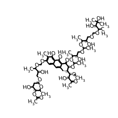 CO[C@@H]([C@@H]1Cc2cc3cc(OCOC(C)[C@@H](O)CO[C@H]4CC(O)[C@H](OC(C)=O)C(C)O4)c(C)c(O)c3c(O)c2C(=O)[C@H]1OC(C)OC(C)[C@@H](O)COC(C)OC(C)[C@H](O)COCOC(C)[C@@H](O)C(C)(C)O)[C@@H](O)C(C)=O